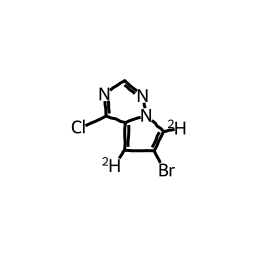 [2H]c1c(Br)c([2H])n2ncnc(Cl)c12